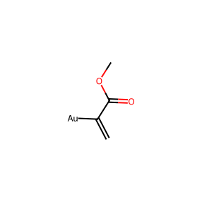 C=[C]([Au])C(=O)OC